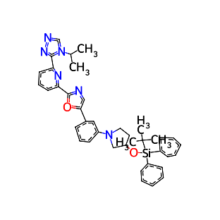 CC(C)n1cnnc1-c1cccc(-c2ncc(-c3cccc(N4CCC(O[Si](c5ccccc5)(c5ccccc5)C(C)(C)C)C4)c3)o2)n1